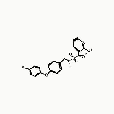 O=S(=O)(NCc1ccc(Oc2ccc(F)cc2)cc1)c1n[nH]c2ncccc12